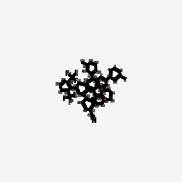 Cc1cccc(-c2ccc3c(c2)c2ccccc2n3-c2ccc(-c3c(C(F)(F)F)cccc3C(F)(F)F)cc2-c2ccc(C#N)cc2-n2c3ccccc3c3cc(-c4cccc(C)c4)ccc32)c1